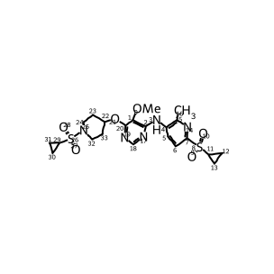 COc1c(Nc2ccc(S(=O)(=O)C3CC3)nc2C)ncnc1OC1CCN(S(=O)(=O)C2CC2)CC1